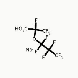 O=C(O)C(F)(OC(F)(F)C(F)(F)C(F)(F)F)C(F)(F)F.[Na]